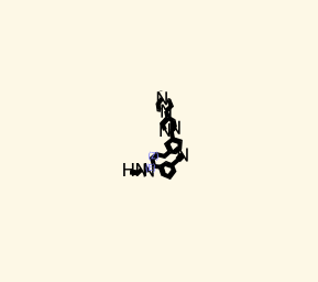 C=CN/N=C(\C=C/Cc1cccc(-c2ncc(N3CCN(C)CC3)cn2)c1)c1cccc(C#N)c1